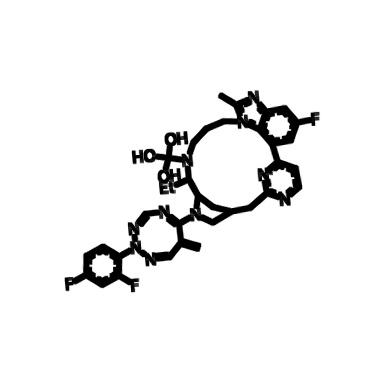 C=C1/C=N\N(c2ccc(F)cc2F)/N=C\N=C/1N1CC2Cc3nccc(n3)-c3cc(F)cc4nc(C)n(c34)CCCN(C(O)(O)O)C(CC)C1C2